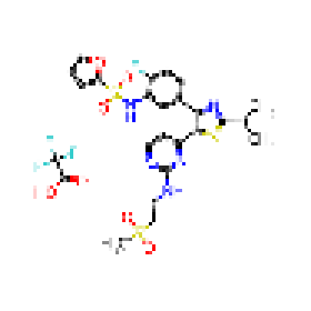 CC(C)c1nc(-c2ccc(F)c(NS(=O)(=O)c3ccco3)c2)c(-c2ccnc(NCCS(C)(=O)=O)n2)s1.O=C(O)C(F)(F)F